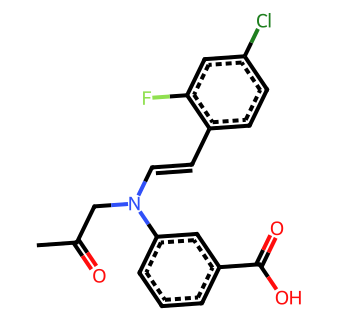 CC(=O)CN(C=Cc1ccc(Cl)cc1F)c1cccc(C(=O)O)c1